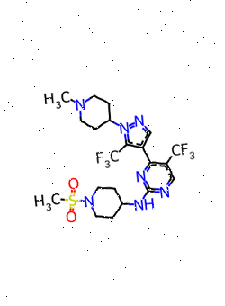 CN1CCC(n2ncc(-c3nc(NC4CCN(S(C)(=O)=O)CC4)ncc3C(F)(F)F)c2C(F)(F)F)CC1